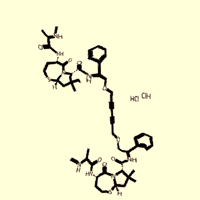 CNC(C)C(=O)N[C@H]1CCS[C@H]2CC(C)(C)[C@@H](C(=O)NC(COCC#CC#CCOCC(NC(=O)[C@H]3N4C(=O)[C@@H](NC(=O)C(C)NC)CCS[C@H]4CC3(C)C)c3ccccc3)c3ccccc3)N2C1=O.Cl.Cl